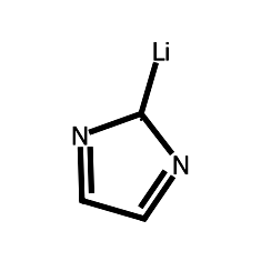 [Li][C]1N=CC=N1